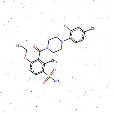 Cc1c(S(N)(=O)=O)ccc(OCC(C)(C)C)c1C(=O)N1CCN(c2ccc(C#N)cc2F)CC1